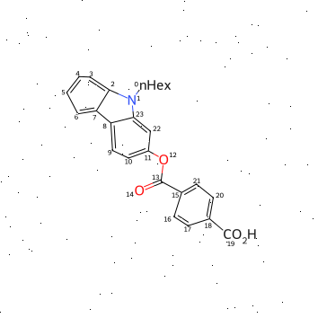 CCCCCCn1c2ccccc2c2ccc(OC(=O)c3ccc(C(=O)O)cc3)cc21